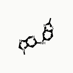 Cc1nc2cc(Nc3cc4c(cn3)ncn4C)ccc2s1